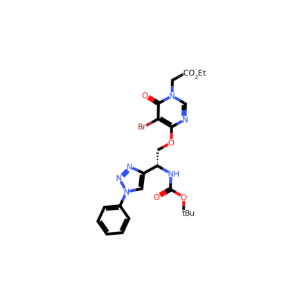 CCOC(=O)Cn1cnc(OC[C@H](NC(=O)OC(C)(C)C)c2cn(-c3ccccc3)nn2)c(Br)c1=O